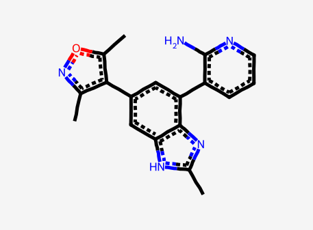 Cc1nc2c(-c3cccnc3N)cc(-c3c(C)noc3C)cc2[nH]1